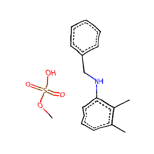 COS(=O)(=O)O.Cc1cccc(NCc2ccccc2)c1C